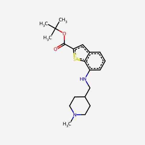 CN1CCC(CNc2cccc3cc(C(=O)OC(C)(C)C)sc23)CC1